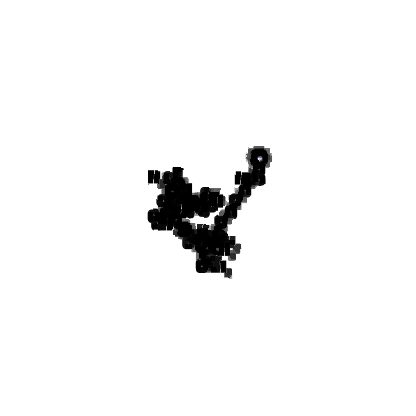 CC[C@@]1(O)C(=O)OCc2c1cc1n(c2=O)Cc2c-1nc1cc(F)c(C)c3c1c2[C@@H](NC(=O)[C@H](CCC(=O)O)NC(=O)OCc1ccc(NC(=O)[C@H](CCCNC(N)=O)NC(=O)[C@@H](NC(=O)CCOCCOCCOCCOCCNC(=O)COC2/C=C\CCCCC2)C(C)C)cc1)CC3